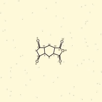 O=C1CC(=O)C2CC3C(=O)OC(=O)C3CC12